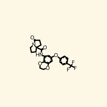 O=C1CCC2(C(=O)Nc3cc(Oc4ccc(C(F)(F)F)cc4)cc4c3OCCO4)CCCN12